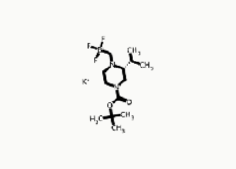 CC(C)[C@@H]1CN(C(=O)OC(C)(C)C)CCN1C[B-](F)(F)F.[K+]